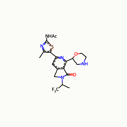 CC(=O)Nc1nc(C)c(-c2cc3c(c(C4CNCCO4)n2)C(=O)N(C(C)C(F)(F)F)C3)s1